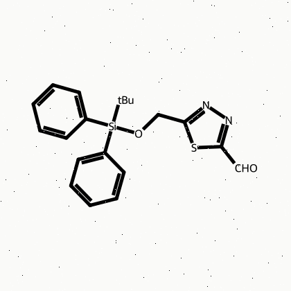 CC(C)(C)[Si](OCc1nnc(C=O)s1)(c1ccccc1)c1ccccc1